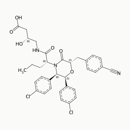 CCC[C@H](C(=O)NC[C@H](O)CC(=O)O)N1C(=O)[C@H](Cc2ccc(C#N)cc2)O[C@@H](c2ccc(Cl)cc2)[C@H]1c1ccc(Cl)cc1